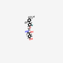 CCc1cc(C(=O)O)ccc1-c1ccc(OCCN[C@H](C)[C@H](O)c2ccc(O)cc2)c(F)c1